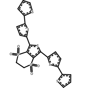 O=S1(=O)CCS(=O)(=O)c2c(-c3ccc(-c4cccs4)s3)sc(-c3ccc(-c4cccs4)s3)c21